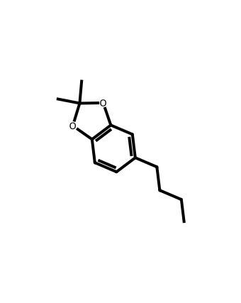 CCCCc1ccc2c(c1)OC(C)(C)O2